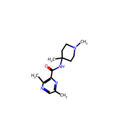 Cc1cnc(C)c(C(=O)NC2(C)CCN(C)CC2)n1